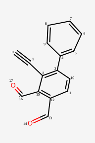 C#Cc1c(-c2ccccc2)ccc([C]=O)c1[C]=O